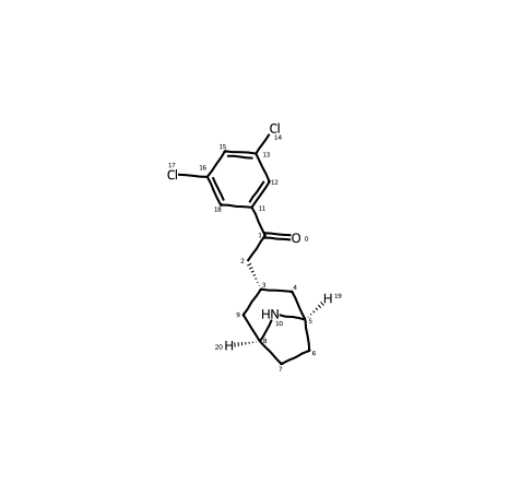 O=C(C[C@@H]1C[C@H]2CC[C@@H](C1)N2)c1cc(Cl)cc(Cl)c1